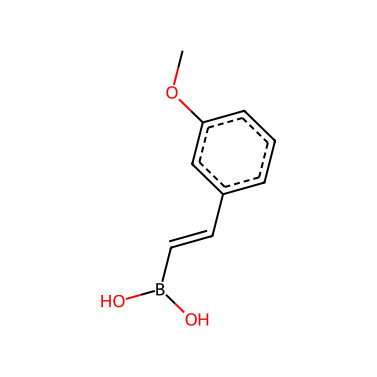 COc1cccc(C=CB(O)O)c1